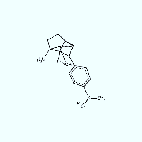 CN(C)c1ccc(C2C3C(O)C4(C)CCC3C24C)cc1